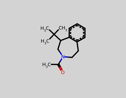 CC(=O)N1CCc2ccccc2C(C(C)(C)C)C1